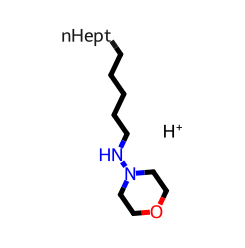 CCCCCCCCCCCCNN1CCOCC1.[H+]